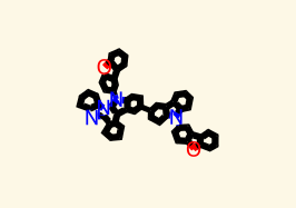 c1ccc2c(c1)nc1c3ccccc3c3c4cc(-c5ccc6c(c5)c5ccccc5n6-c5ccc6oc7ccccc7c6c5)ccc4n(-c4ccc5oc6ccccc6c5c4)c3n21